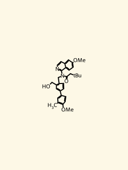 COc1ccc2c(N(Cc3ccc(-c4ccc(OC)c(C)c4)cc3CO)C(=O)CC(C)(C)C)nccc2c1